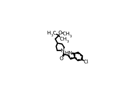 COC(C)(C)CC1CCN(C(=O)c2cc3cc(Cl)ccc3[nH]2)CC1